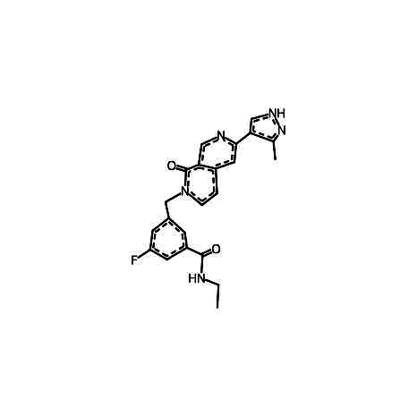 CCNC(=O)c1cc(F)cc(Cn2ccc3cc(-c4c[nH]nc4C)ncc3c2=O)c1